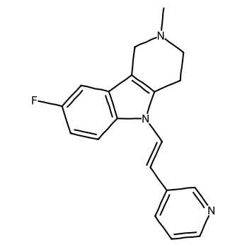 CN1CCc2c(c3cc(F)ccc3n2C=Cc2cccnc2)C1